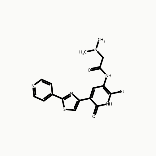 CCc1[nH]c(=O)c(-c2csc(-c3ccncc3)n2)cc1NC(=O)CN(C)C